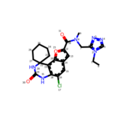 CCn1cnnc1CN(C)C(=O)c1cc2cc(Cl)c3c(c2o1)C1(CCCCC1)NC(=O)N3